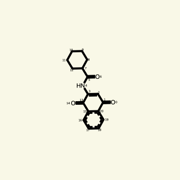 O=C1C=C(NC(=O)C2CCCCC2)C(=O)c2ccccc21